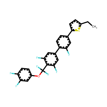 CCc1ccc(-c2ccc(-c3cc(F)c(C(F)(F)Oc4ccc(F)c(F)c4)c(F)c3)c(F)c2)s1